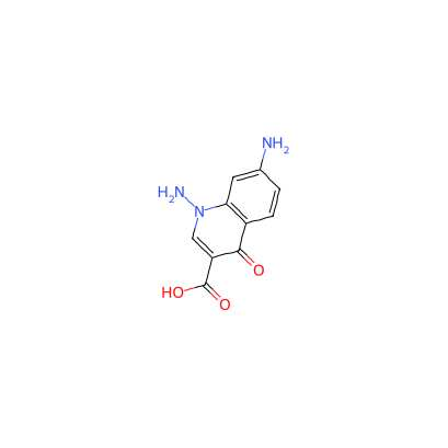 Nc1ccc2c(=O)c(C(=O)O)cn(N)c2c1